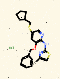 Cc1csc(Nc2ncc(SCC3CCCC3)cc2OCc2ccccc2)n1.Cl